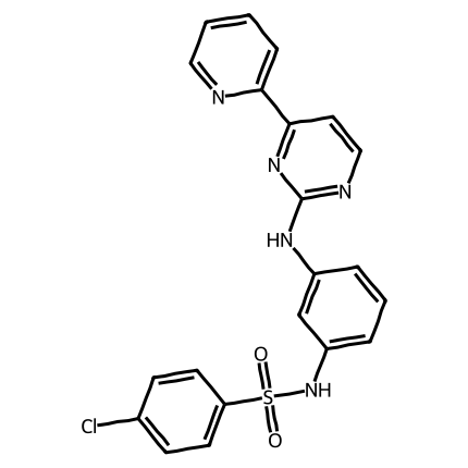 O=S(=O)(Nc1cccc(Nc2nccc(-c3ccccn3)n2)c1)c1ccc(Cl)cc1